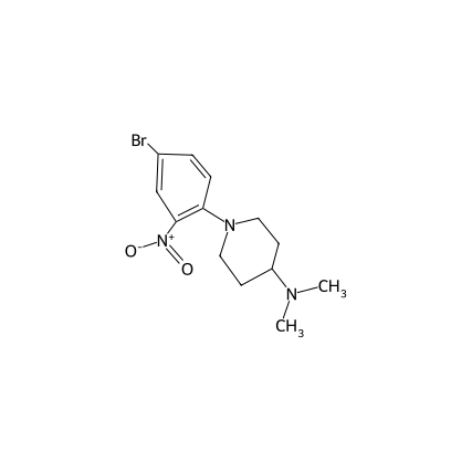 CN(C)C1CCN(c2ccc(Br)cc2[N+](=O)[O-])CC1